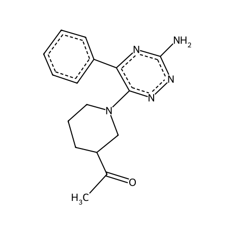 CC(=O)C1CCCN(c2nnc(N)nc2-c2ccccc2)C1